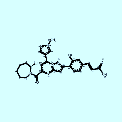 C[C@@H]1CCCCCN1C(=O)c1cc(-c2cnn(C)c2)n2nc(-c3ccc(/C=C/C(=O)O)cc3F)cc2n1